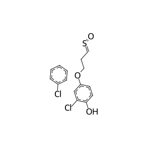 Clc1ccccc1.O=S=CCCOc1ccc(O)c(Cl)c1